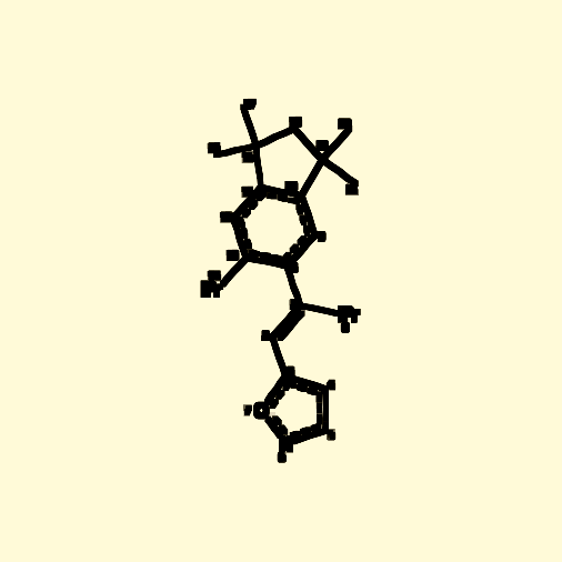 CC(C)/C(=C\c1ccno1)c1cc2c(cc1C(C)C)C(C)(C)CC2(C)C